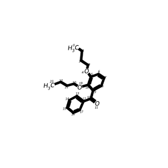 CCCCOc1cccc(C(=O)c2ccccc2)c1OCCCC